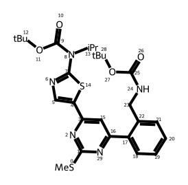 CSc1nc(-c2cnc(N(C(=O)OC(C)(C)C)C(C)C)s2)cc(-c2ccccc2CNC(=O)OC(C)(C)C)n1